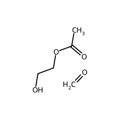 C=O.CC(=O)OCCO